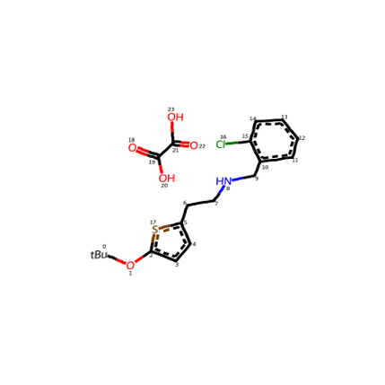 CC(C)(C)Oc1ccc(CCNCc2ccccc2Cl)s1.O=C(O)C(=O)O